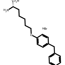 Br.N[C@@H](CCCCCOc1ccc(Cc2ccccc2)cc1)C(=O)O